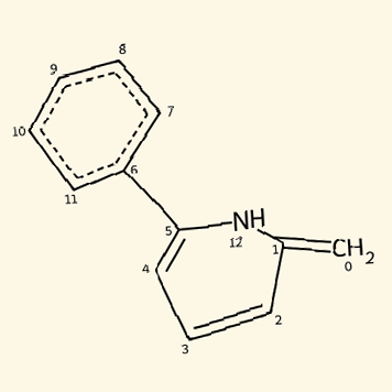 C=C1C=CC=C(c2ccccc2)N1